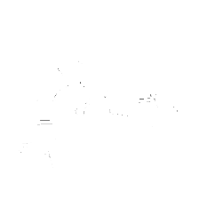 Cc1cc(NC(=O)C(=O)N2C[C@@H](C)CC[C@@H]2c2ccc3c(c2)CNC3=O)cnc1N